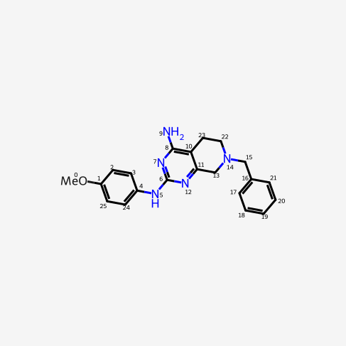 COc1ccc(Nc2nc(N)c3c(n2)CN(Cc2ccccc2)CC3)cc1